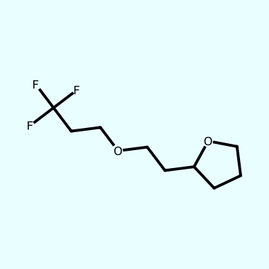 FC(F)(F)CCOCCC1CCCO1